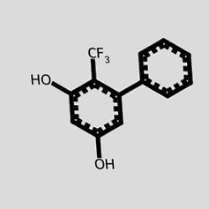 Oc1cc(O)c(C(F)(F)F)c(-c2ccccc2)c1